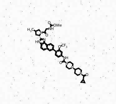 COC(=O)NCC(=O)N1CC(C)C[C@H]1c1nc2c(ccc3cc(-c4ccc(NC(=O)N5CCN(C6CCN(C(=O)C7CC7)CC6)CC5)cc4OC(F)(F)F)ccc32)[nH]1